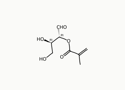 C=C(C)C(=O)O[C@@H](C=O)[C@H](O)CO